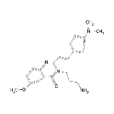 COc1ccc2nc(C=Cc3ccc(N(C)C)cc3)n(CCCN)c(=O)c2c1